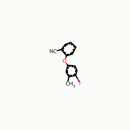 Cc1cc(Oc2ccccc2C#N)ccc1I